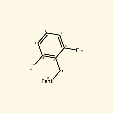 CCCC(C)Cc1c(F)cccc1F